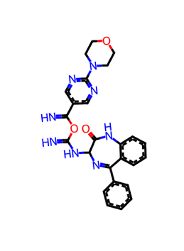 N=C(NC1N=C(c2ccccc2)c2ccccc2NC1=O)OC(=N)c1cnc(N2CCOCC2)nc1